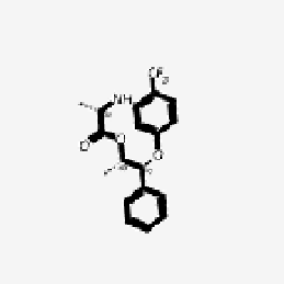 C[C@H](N)C(=O)O[C@@H](C)[C@H](Oc1ccc(C(F)(F)F)cc1)c1ccccc1